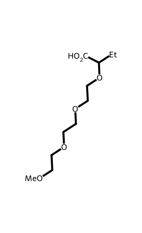 CCC(OCCOCCOCCOC)C(=O)O